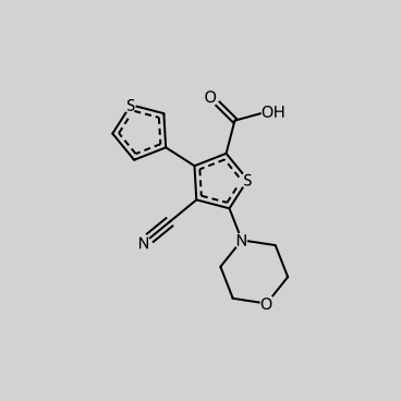 N#Cc1c(N2CCOCC2)sc(C(=O)O)c1-c1ccsc1